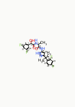 CC(NC(=O)C(O)c1cc(F)cc(F)c1)C(=O)Nc1cc(C(C)(C)c2ccc(F)cc2F)n[nH]1